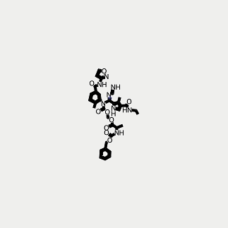 CCNC(=O)c1c[nH]c(/C(=N\C=N)N(C(=O)OCOC(=O)C(C)NC(=O)OCc2ccccc2)c2cc(C(=O)Nc3ccon3)ccc2C)c1C